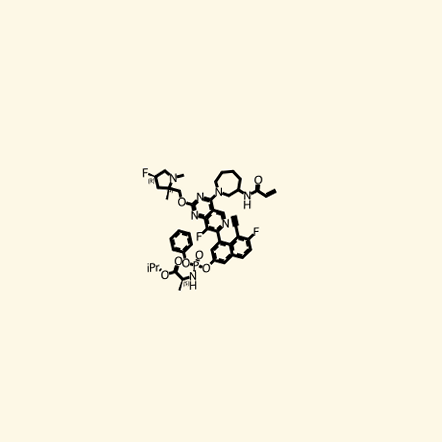 C#Cc1c(F)ccc2cc(OP(=O)(N[C@@H](C)C(=O)OC(C)C)Oc3ccccc3)cc(-c3ncc4c(N5CCCCC(NC(=O)C=C)C5)nc(OC[C@]5(C)C[C@@H](F)CN5C)nc4c3F)c12